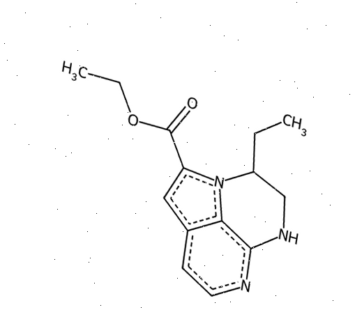 CCOC(=O)c1cc2ccnc3c2n1C(CC)CN3